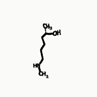 CNCCCC[C@H](C)O